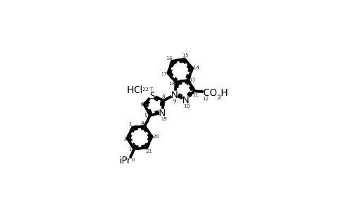 CC(C)c1ccc(-c2csc(-n3nc(C(=O)O)c4ccccc43)n2)cc1.Cl